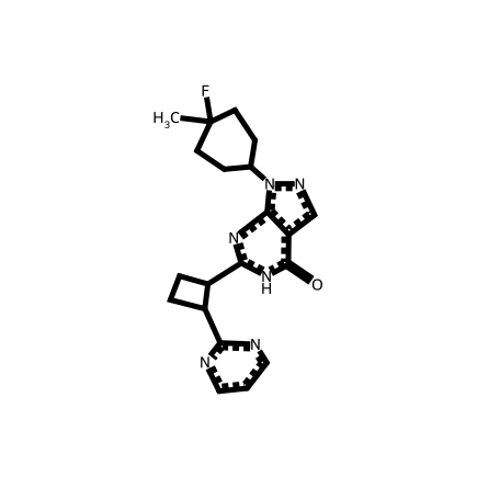 CC1(F)CCC(n2ncc3c(=O)[nH]c(C4CCC4c4ncccn4)nc32)CC1